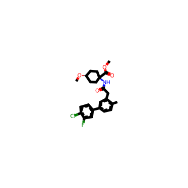 COC(=O)[C@]1(NC(=O)Cc2cc(-c3ccc(Cl)c(F)c3)ccc2C)CC[C@H](OC)CC1